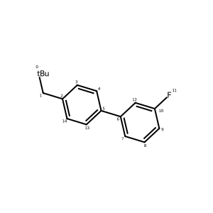 CC(C)(C)Cc1ccc(-c2cccc(F)c2)cc1